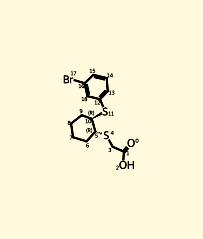 O=C(O)CS[C@@H]1CCCC[C@H]1Sc1cccc(Br)c1